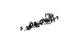 Cc1ccc(C(C)C)c(N2C(=O)CS/C2=N\C(=O)Nc2ccc(-c3ncn(-c4cccc(OC(F)(F)F)c4)n3)cc2)c1